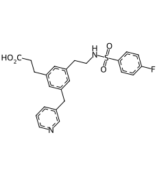 O=C(O)CCc1cc(CCNS(=O)(=O)c2ccc(F)cc2)cc(Cc2cccnc2)c1